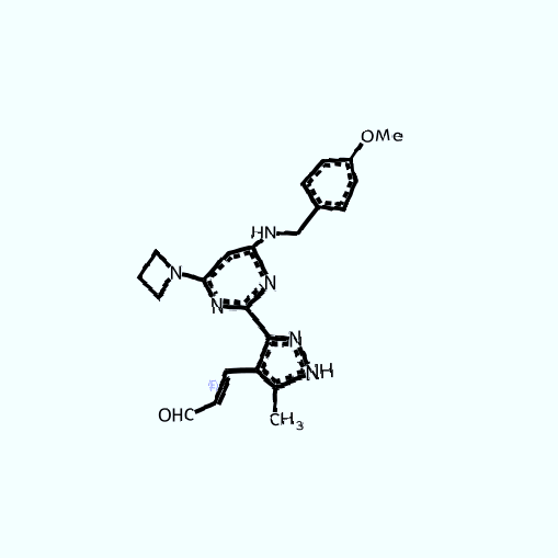 COc1ccc(CNc2cc(N3CCC3)nc(-c3n[nH]c(C)c3/C=C/C=O)n2)cc1